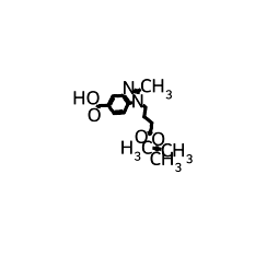 Cc1nc2cc(C(=O)O)ccc2n1CCCC(=O)OC(C)(C)C